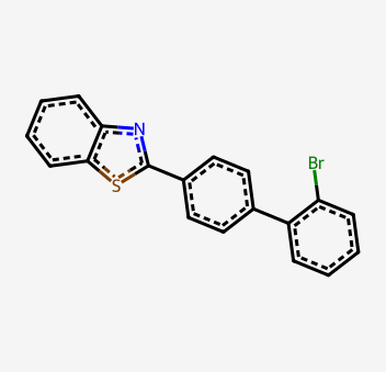 Brc1ccccc1-c1ccc(-c2nc3ccccc3s2)cc1